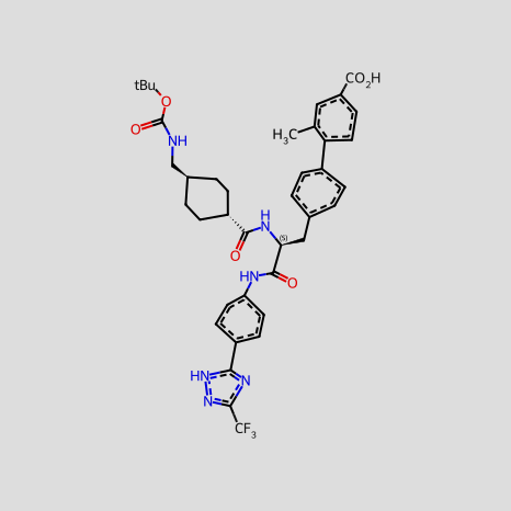 Cc1cc(C(=O)O)ccc1-c1ccc(C[C@H](NC(=O)[C@H]2CC[C@H](CNC(=O)OC(C)(C)C)CC2)C(=O)Nc2ccc(-c3nc(C(F)(F)F)n[nH]3)cc2)cc1